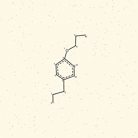 [CH2]CCc1ccc(OCCC)nc1